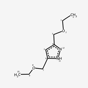 CCOCc1cc(COCC)[nH]n1